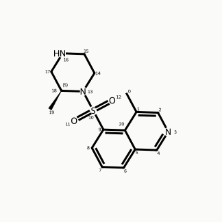 Cc1cncc2cccc(S(=O)(=O)N3CCNC[C@@H]3C)c12